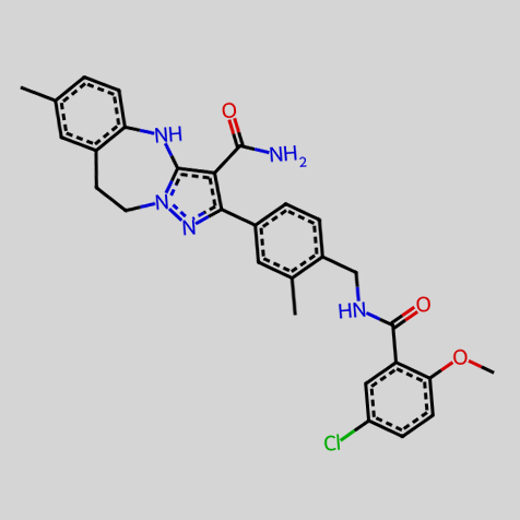 COc1ccc(Cl)cc1C(=O)NCc1ccc(-c2nn3c(c2C(N)=O)Nc2ccc(C)cc2CC3)cc1C